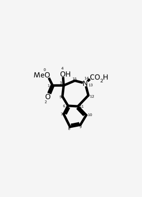 COC(=O)C1(O)Cc2ccccc2CN(C(=O)O)C1